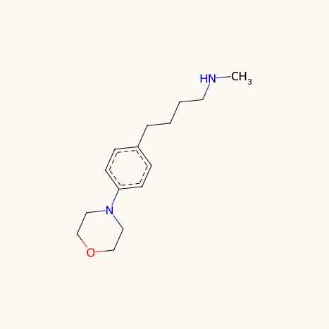 CNCCCCc1ccc(N2CCOCC2)cc1